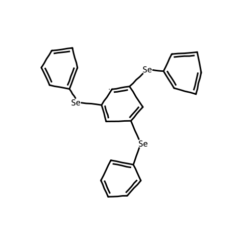 [c]1c([Se]c2ccccc2)cc([Se]c2ccccc2)cc1[Se]c1ccccc1